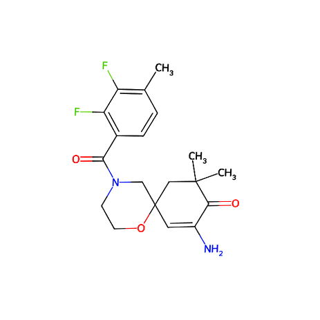 Cc1ccc(C(=O)N2CCOC3(C=C(N)C(=O)C(C)(C)C3)C2)c(F)c1F